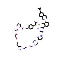 Cc1ncsc1-c1ccc(CNC(=O)[C@@H]2C[C@@H](O)CN2C(=O)[C@@H](NC(=O)CCOCCc2cn(CCOCCN3CCN(c4ccc(Nc5nc(-c6cccc(-n7ccc8cc(C9CC9)cc(F)c8c7=O)c6CO)cn(C)c5=O)nc4)CC3)nn2)C(C)(C)C)cc1